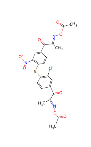 CC(=O)O/N=C(\C)C(=O)c1ccc(Sc2ccc(C(=O)/C(C)=N/OC(C)=O)cc2[N+](=O)[O-])c(Cl)c1